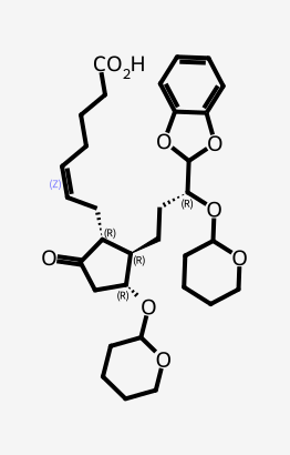 O=C(O)CCC/C=C\C[C@H]1C(=O)C[C@@H](OC2CCCCO2)[C@@H]1CC[C@@H](OC1CCCCO1)C1Oc2ccccc2O1